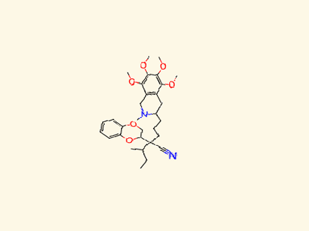 CCC(C)C(C#N)(CCCC1Cc2c(c(OC)c(OC)c(OC)c2OC)CN1C)C1COc2ccccc2O1